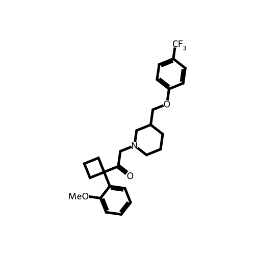 COc1ccccc1C1(C(=O)CN2CCCC(COc3ccc(C(F)(F)F)cc3)C2)CCC1